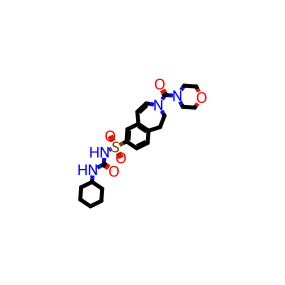 O=C(NC1CCCCC1)NS(=O)(=O)c1ccc2c(c1)C=CN(C(=O)N1CCOCC1)CC2